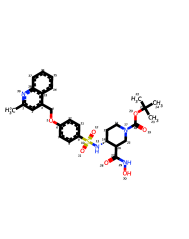 Cc1cc(COc2ccc(S(=O)(=O)N[C@@H]3CCN(C(=O)OC(C)(C)C)CC3C(=O)NO)cc2)c2ccccc2n1